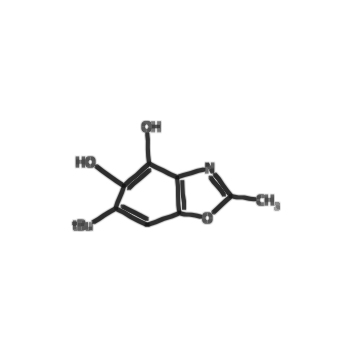 Cc1nc2c(O)c(O)c(C(C)(C)C)cc2o1